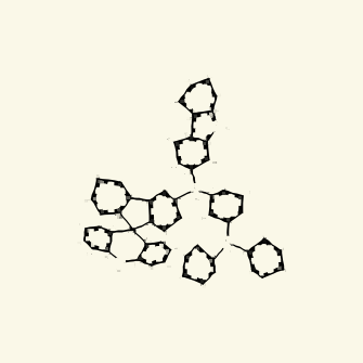 c1ccc(N(c2ccccc2)c2cccc(N(c3ccc4c(c3)-c3ccccc3C43c4ccccc4Sc4ccccc43)c3ccc4c(c3)sc3ccccc34)c2)cc1